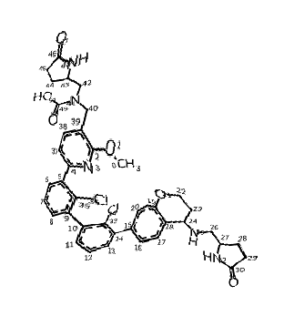 COc1nc(-c2cccc(-c3cccc(-c4ccc5c(c4)OCCC5NCC4CCC(=O)N4)c3Cl)c2Cl)ccc1CN(CC1CCC(=O)N1)C(=O)O